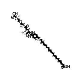 CC(=O)COCCOCCNC(=O)CC[C@@H](NC(=O)C1CCC(CNCCCCCCCCCCCCCCCCCCCC(=O)O)CC1)C(=O)O